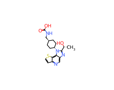 C[C@@H](O)c1nc2cnc3ccsc3c2n1[C@H]1CC[C@H](CNC(=O)O)CC1